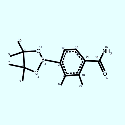 Cc1c(B2OC(C)(C)C(C)(C)O2)ccc(C(N)=O)c1C